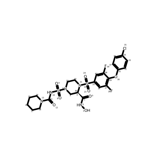 O=C(NO)[C@H]1CN(S(=O)(=O)NC(=O)N2CCCCC2)CCN1S(=O)(=O)c1cc(F)c(Oc2ccc(Cl)cc2)c(F)c1